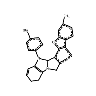 Cc1ccc2c(c1)oc1c3c(ncc12)CN1C2=C(C=CCC2)N(c2ccc(C(C)(C)C)cc2)C31